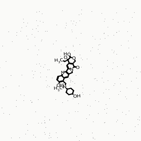 CCC1(O)C(=O)OCc2c1cc1n(c2=O)Cc2cc3c(CN(C)C4CCC(O)CC4)c(O)ccc3nc2-1